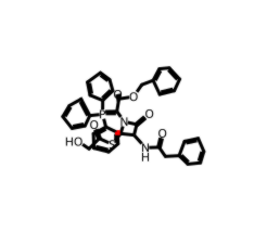 O=C(Cc1ccccc1)NC1C(=O)N(C(C(=O)OCc2ccccc2)=P(c2ccccc2)(c2ccccc2)c2ccccc2)C1SC(=O)CO